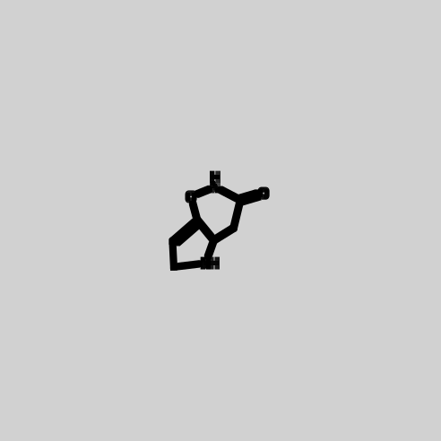 O=C1CC2NCC=C2ON1